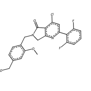 COc1cc(CO)ccc1CN1Cc2nc(-c3c(F)cccc3F)cc(Cl)c2C1=O